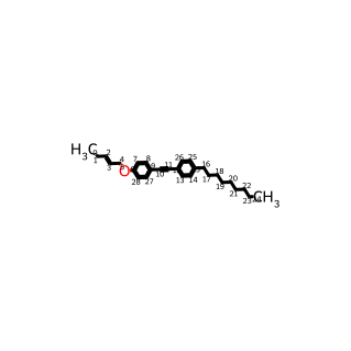 CCC=CCOc1ccc(C#Cc2ccc(CCCCCCCCC)cc2)cc1